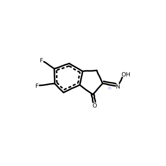 O=C1/C(=N/O)Cc2cc(F)c(F)cc21